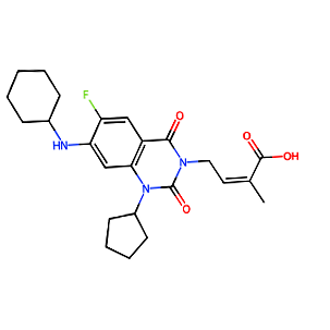 CC(=CCn1c(=O)c2cc(F)c(NC3CCCCC3)cc2n(C2CCCC2)c1=O)C(=O)O